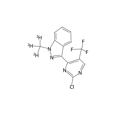 [2H]C([2H])([2H])n1nc(-c2nc(Cl)ncc2C(F)(F)F)c2ccccc21